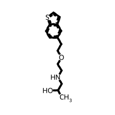 CC(O)CNCCOCCc1ccc2sccc2c1